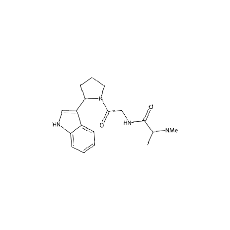 CNC(C)C(=O)NCC(=O)N1CCCC1c1c[nH]c2ccccc12